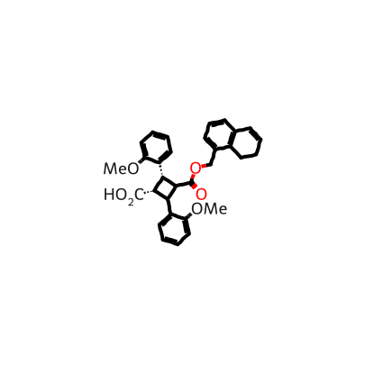 COc1ccccc1C1C(C(=O)OCc2cccc3c2CCC=C3)[C@@H](c2ccccc2OC)[C@H]1C(=O)O